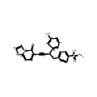 CS(=O)(=O)c1ccc(CC(C#Cc2ccc3sccn3c2=O)c2cccc(Cl)c2)cc1